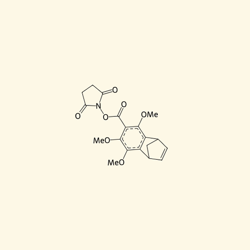 COc1c(OC)c2c(c(OC)c1C(=O)ON1C(=O)CCC1=O)C1C=CC2C1